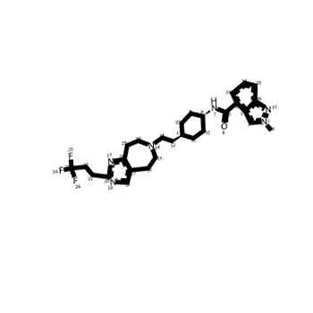 Cn1cc2c(C(=O)N[C@H]3CC[C@H](CCN4CCc5cnc(CCC(F)(F)F)nc5CC4)CC3)cccc2n1